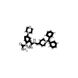 CCCCN(C(N)=O)c1ccc(N2CCOCC2)cc1C(=O)NCC1CCN(C(c2ccccc2)c2ccccc2)CC1